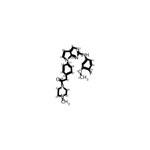 COc1cc(Nc2ncc3ccn(-c4ccc(CC(=O)N5CCN(C)CC5)cc4)c3n2)ccc1F